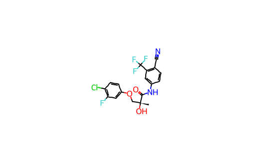 C[C@@](O)(COc1ccc(Cl)c(F)c1)C(=O)Nc1ccc(C#N)c(C(F)(F)F)c1